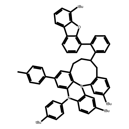 Cc1ccc(-c2cc3c4c(c2)N(c2ccc(C(C)(C)C)cc2)c2ccc(C(C)(C)C)cc2B4c2cc(C(C)(C)C)ccc2CC(c2ccccc2-c2cccc4c2oc2c(C(C)(C)C)cccc24)CC3)cc1